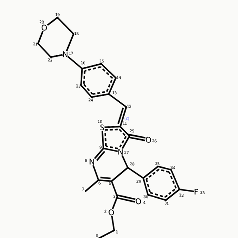 CCOC(=O)C1=C(C)N=c2s/c(=C\c3ccc(N4CCOCC4)cc3)c(=O)n2C1c1ccc(F)cc1